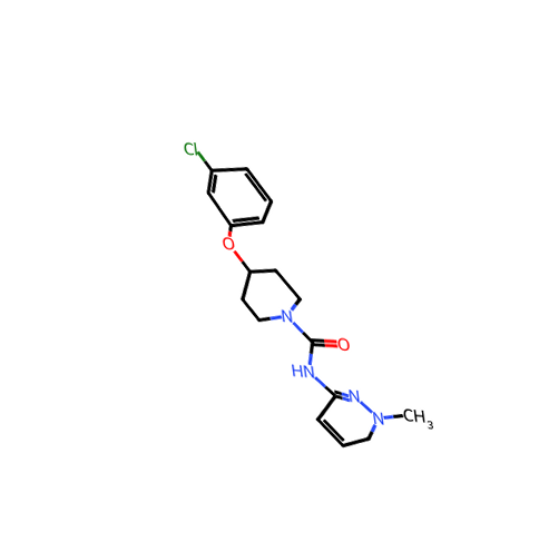 CN1CC=CC(NC(=O)N2CCC(Oc3cccc(Cl)c3)CC2)=N1